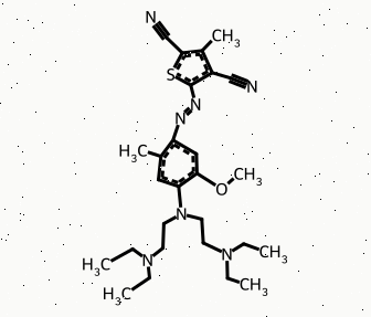 CCN(CC)CCN(CCN(CC)CC)c1cc(C)c(/N=N/c2sc(C#N)c(C)c2C#N)cc1OC